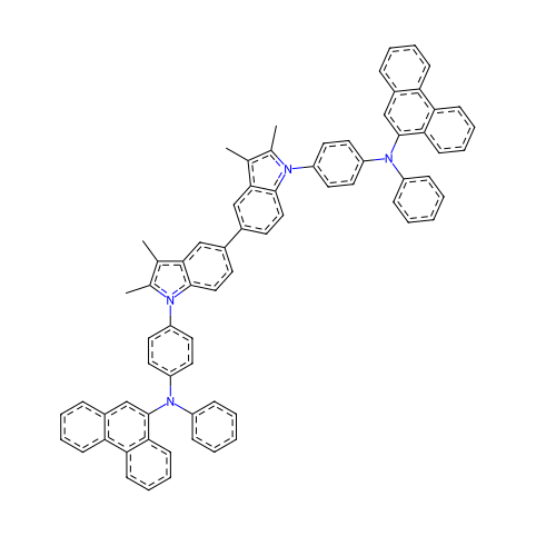 Cc1c(C)n(-c2ccc(N(c3ccccc3)c3cc4ccccc4c4ccccc34)cc2)c2ccc(-c3ccc4c(c3)c(C)c(C)n4-c3ccc(N(c4ccccc4)c4cc5ccccc5c5ccccc45)cc3)cc12